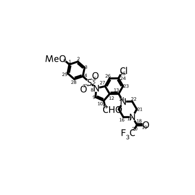 COc1ccc(S(=O)(=O)n2cc(C=O)c3c(N4CCN(C(=O)C(F)(F)F)CC4)cc(Cl)cc32)cc1